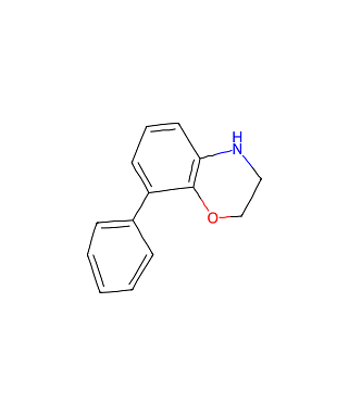 c1ccc(-c2cccc3c2OCCN3)cc1